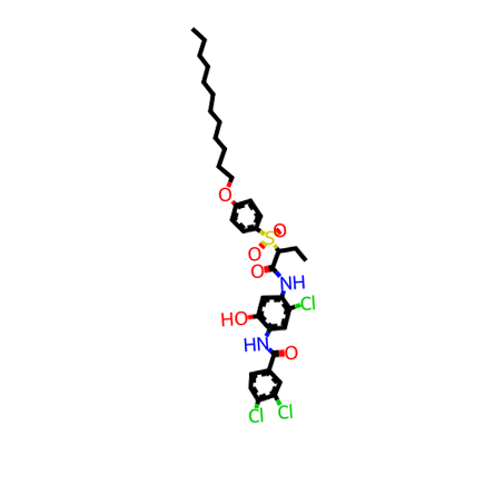 CCCCCCCCCCCCOc1ccc(S(=O)(=O)C(CC)C(=O)Nc2cc(O)c(NC(=O)c3ccc(Cl)c(Cl)c3)cc2Cl)cc1